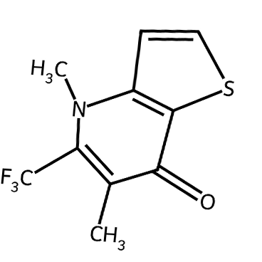 Cc1c(C(F)(F)F)n(C)c2ccsc2c1=O